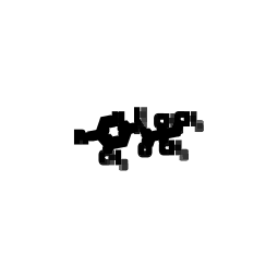 CCC(C)(C)C(=O)Nc1cc(C)c(Br)cn1